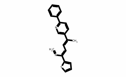 C=N/C(=C\C=C(/C)c1ccc(-c2ccccc2)nc1)c1cccs1